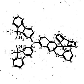 CC1(C)c2ccccc2-c2ccc(N(c3ccc4c(c3)C(C)(C)c3ccccc3-4)c3ccc4cc5c(cc4c3)Oc3ccccc3C53c4ccccc4-c4ccccc43)cc21